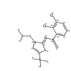 CC(C)Cn1cc(C(C)(C)C)s/c1=N\C(=O)c1cccc(Cl)c1Cl